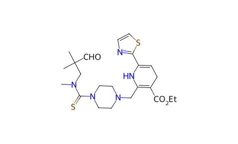 CCOC(=O)C1=C(CN2CCN(C(=S)N(C)CC(C)(C)C=O)CC2)NC(c2nccs2)=CC1